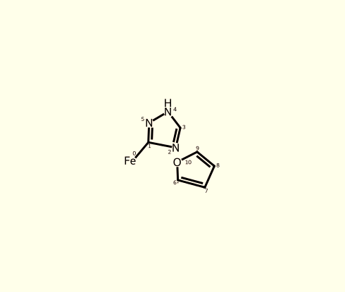 [Fe][c]1nc[nH]n1.[c]1ccco1